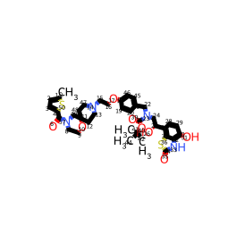 Cc1ccc(C(=O)N2CCOC3(CCN(CCOc4ccc(CN(C[C@H](O)c5ccc(O)c6[nH]c(=O)sc56)C(=O)OC(C)(C)C)cc4)CC3)C2)s1